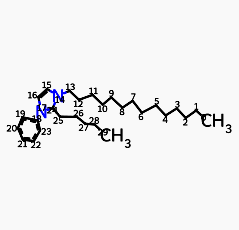 CCCCCCCCCCCCCCN1C=CN(c2ccccc2)C1CCCCC